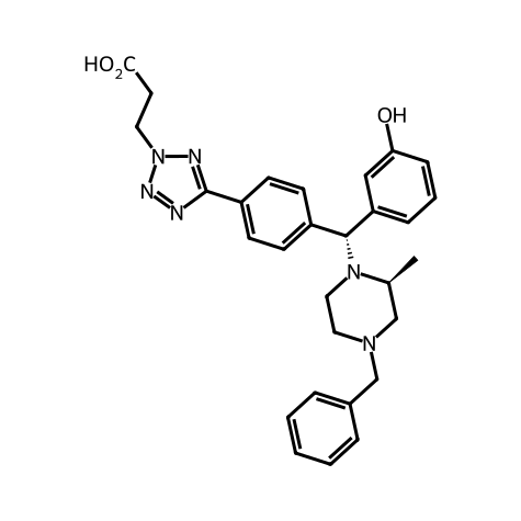 C[C@H]1CN(Cc2ccccc2)CCN1[C@H](c1ccc(-c2nnn(CCC(=O)O)n2)cc1)c1cccc(O)c1